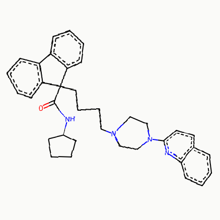 O=C(NC1CCCC1)C1(CCCCN2CCN(c3ccc4ccccc4n3)CC2)c2ccccc2-c2ccccc21